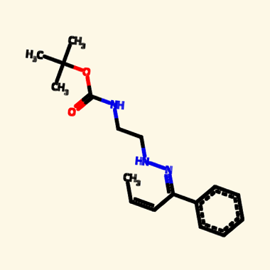 C/C=C\C(=N/NCCNC(=O)OC(C)(C)C)c1ccccc1